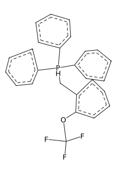 FC(F)(F)Oc1ccccc1C[PH](c1ccccc1)(c1ccccc1)c1ccccc1